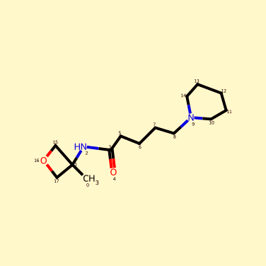 CC1(NC(=O)CCCCN2CCCCC2)COC1